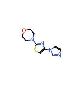 c1cn(-c2csc(N3CCOCC3)n2)cn1